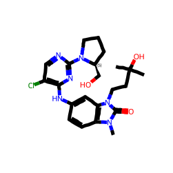 Cn1c(=O)n(CCC(C)(C)O)c2cc(Nc3nc(N4CCC[C@H]4CO)ncc3Cl)ccc21